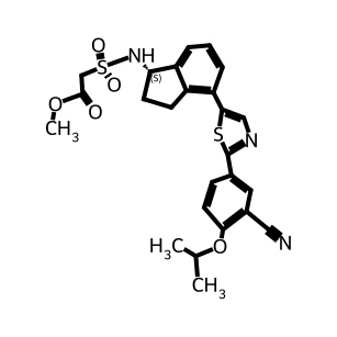 COC(=O)CS(=O)(=O)N[C@H]1CCc2c(-c3cnc(-c4ccc(OC(C)C)c(C#N)c4)s3)cccc21